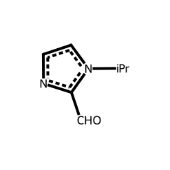 CC(C)n1ccnc1C=O